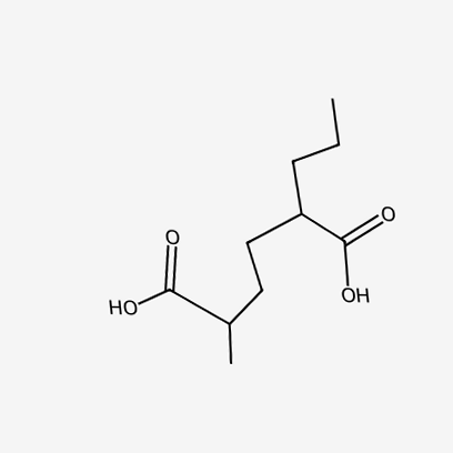 CCCC(CCC(C)C(=O)O)C(=O)O